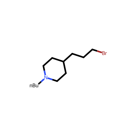 CCCCN1CCC(CCCBr)CC1